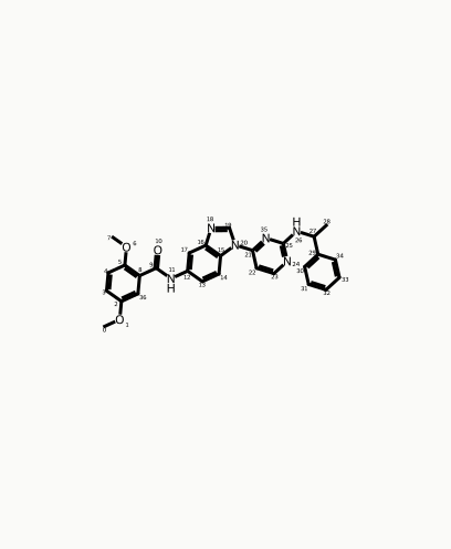 COc1ccc(OC)c(C(=O)Nc2ccc3c(c2)ncn3-c2ccnc(NC(C)c3ccccc3)n2)c1